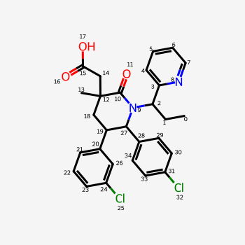 CCC(c1ccccn1)N1C(=O)C(C)(CC(=O)O)CC(c2cccc(Cl)c2)C1c1ccc(Cl)cc1